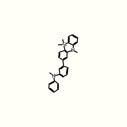 CN(c1ccccc1)c1cccc(-c2ccc3c(c2)N(C)c2ccccc2[Si]3(C)C)c1